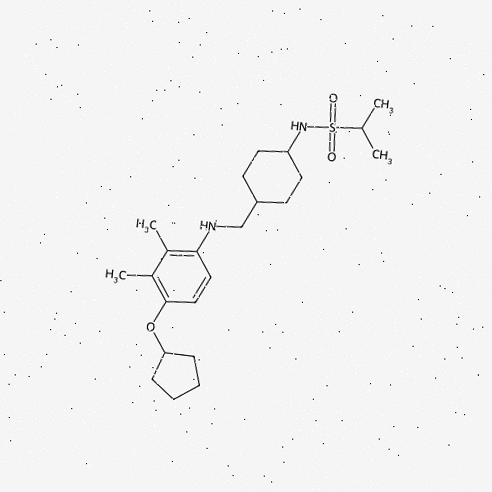 Cc1c(NCC2CCC(NS(=O)(=O)C(C)C)CC2)ccc(OC2CCCC2)c1C